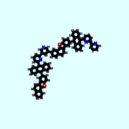 c1ccc(-c2cccc(-c3c4ccccc4c(-c4ccc5oc6c7cc(-c8cncc(-c9cccc(-c%10c%11ccccc%11c(-c%11ccc%12oc%13c%14ccccc%14ccc%13c%12c%11)c%11ccccc%10%11)n9)c8)ccc7ccc6c5c4)c4ccccc34)n2)nc1